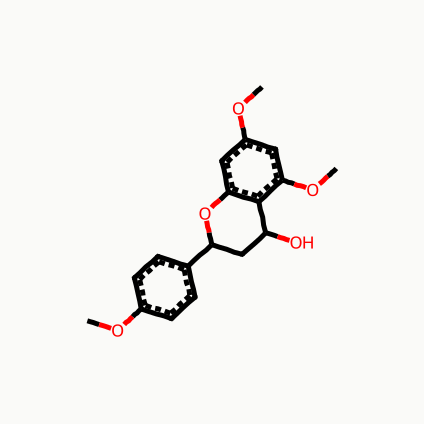 COc1ccc(C2CC(O)c3c(OC)cc(OC)cc3O2)cc1